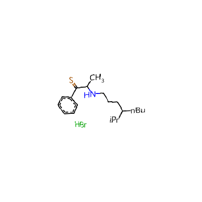 Br.CCCCC(CCCNC(C)C(=S)c1ccccc1)C(C)C